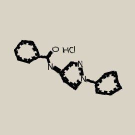 Cl.O=C(N=c1ccn(-c2ccccc2)nc1)c1ccccc1